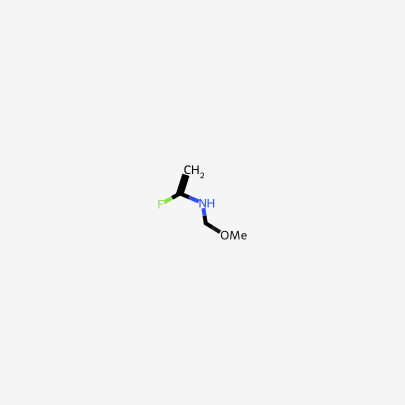 C=C(F)NCOC